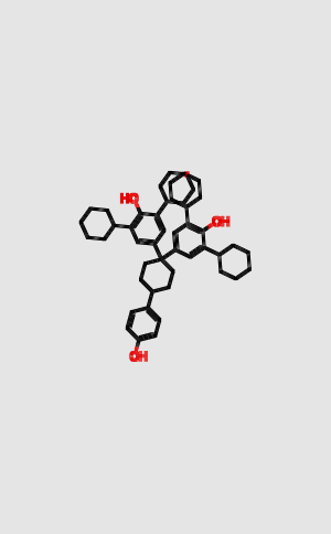 Oc1ccc(C2CCC(c3cc(C4CCCCC4)c(O)c(C4CCCCC4)c3)(c3cc(C4CCCCC4)c(O)c(C4CCCCC4)c3)CC2)cc1